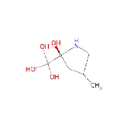 CC1CN[C@@](O)(C(O)(O)O)C1